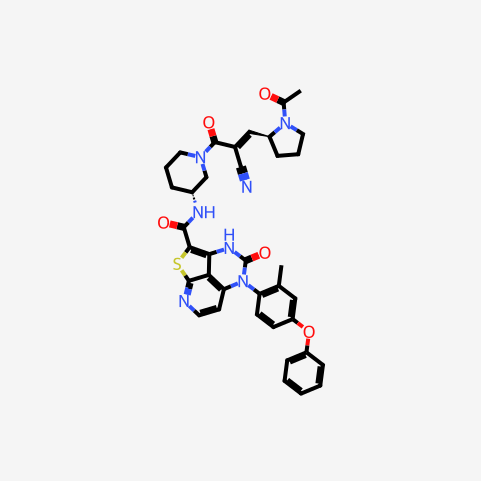 CC(=O)N1CCC[C@H]1/C=C(\C#N)C(=O)N1CCC[C@@H](NC(=O)c2sc3nccc4c3c2NC(=O)N4c2ccc(Oc3ccccc3)cc2C)C1